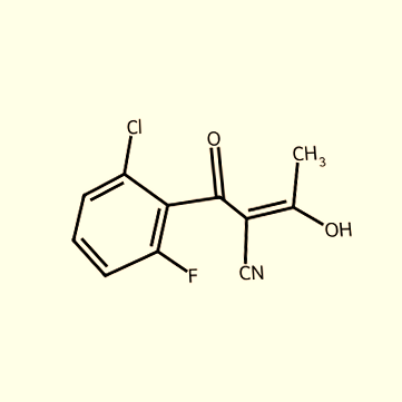 C/C(O)=C(/C#N)C(=O)c1c(F)cccc1Cl